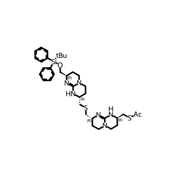 CC(=O)SC[C@H]1CCN2CC[C@H](CSC[C@H]3CCN4CC[C@H](CO[Si](c5ccccc5)(c5ccccc5)C(C)(C)C)N=C4N3)N=C2N1